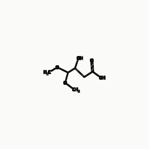 COC(OC)C(O)CC(=O)O